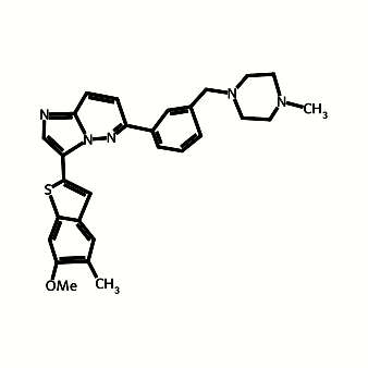 COc1cc2sc(-c3cnc4ccc(-c5cccc(CN6CCN(C)CC6)c5)nn34)cc2cc1C